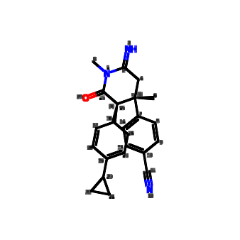 CN1C(=N)C[C@](C)(c2ccc(C#N)cc2)[C@@H](C2C=CC(C3CC3)=CC2)C1=O